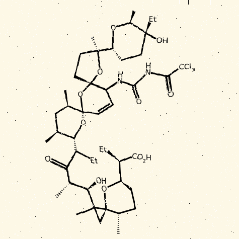 CCC(C(=O)[C@@H](C)[C@@H](O)C1(C)C[C@]12O[C@@H]([C@@H](CC)C(=O)O)CC[C@@H]2C)[C@H]1O[C@]2(C=CC(NC(=O)NC(=O)C(Cl)(Cl)Cl)[C@]3(CC[C@@](C)([C@H]4CC[C@](O)(CC)[C@H](C)O4)O3)O2)[C@H](C)C[C@@H]1C